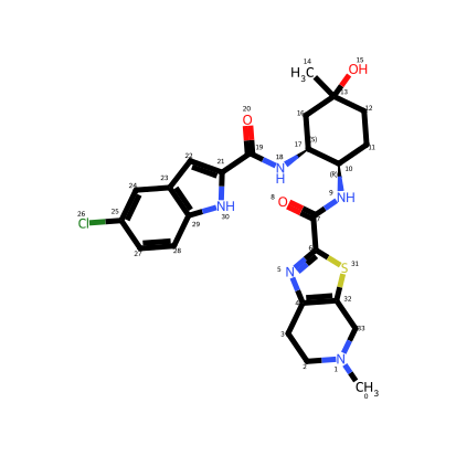 CN1CCc2nc(C(=O)N[C@@H]3CCC(C)(O)C[C@@H]3NC(=O)c3cc4cc(Cl)ccc4[nH]3)sc2C1